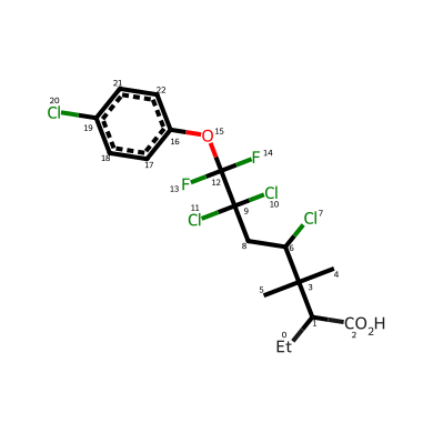 CCC(C(=O)O)C(C)(C)C(Cl)CC(Cl)(Cl)C(F)(F)Oc1ccc(Cl)cc1